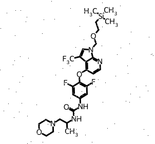 CC(CN1CCOCC1)NC(=O)Nc1cc(F)c(Oc2ccnc3c2c(C(F)(F)F)cn3COCC[Si](C)(C)C)c(F)c1